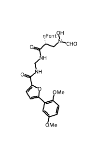 CCCCC[C@H](CN(O)C=O)C(=O)NCNC(=O)c1ccc(-c2cc(OC)ccc2OC)o1